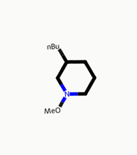 CCCCC1CCCN(OC)C1